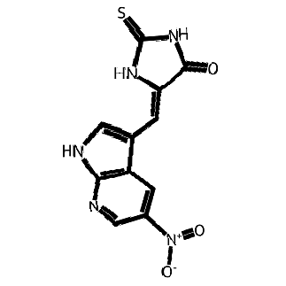 O=C1NC(=S)N/C1=C\c1c[nH]c2ncc([N+](=O)[O-])cc12